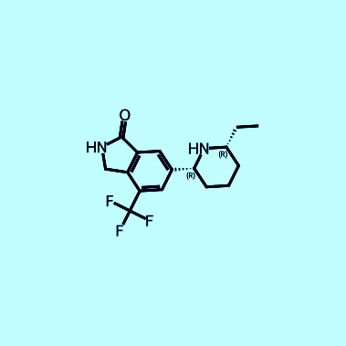 CC[C@@H]1CCC[C@H](c2cc3c(c(C(F)(F)F)c2)CNC3=O)N1